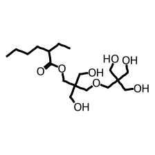 CCCCC(CC)C(=O)OCC(CO)(CO)COCC(CO)(CO)CO